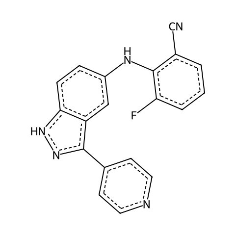 N#Cc1cccc(F)c1Nc1ccc2[nH]nc(-c3ccncc3)c2c1